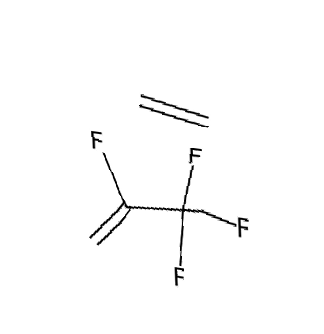 C=C.C=C(F)C(F)(F)F